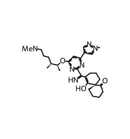 CNCCC[C@H](C)[C@H](C)Oc1cc(-c2cnn(C)c2)nc(C(=N)C2=C(O)[C@]3(CCCCC3=O)CCC2)n1